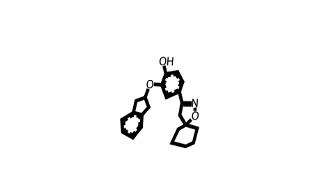 Oc1ccc(C2=NOC3(CCCCC3)C2)cc1OC1Cc2ccccc2C1